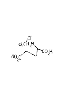 ClC(Cl)(Cl)Cl.NC(CCC(=O)O)C(=O)O